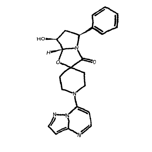 O=C1N2[C@H](OC13CCN(c1ccnc4ccnn14)CC3)[C@@H](O)C[C@H]2c1ccccc1